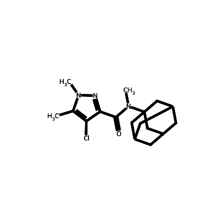 Cc1c(Cl)c(C(=O)N(C)C23CC4CC(CC(C4)C2)C3)nn1C